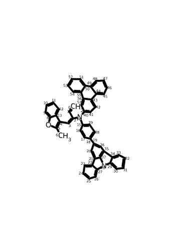 C=C/C(=C\c1c(C)oc2ccccc12)N(c1ccc(-c2cc3c4ccccc4n4c5ccccc5c(c2)c34)cc1)c1ccc2c3ccccc3c3ccccc3c2c1